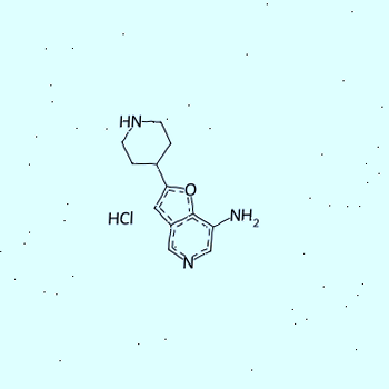 Cl.Nc1cncc2cc(C3CCNCC3)oc12